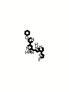 Fc1ccc(-c2ccnc3[nH]c(-c4n[nH]c5ncc(-c6cncc(OC7CCCCC7)c6)cc45)cc23)s1